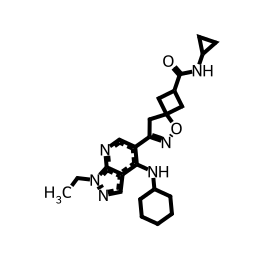 CCn1ncc2c(NC3CCCCC3)c(C3=NOC4(C3)CC(C(=O)NC3CC3)C4)cnc21